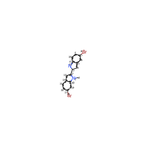 Cn1c(C2C=c3cc(Br)ccc3=N2)cc2ccc(Br)cc21